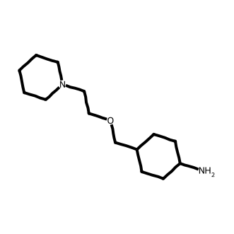 NC1CCC(COCCN2CCCCC2)CC1